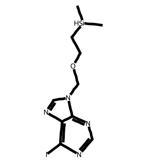 C[SiH](C)CCOCn1cnc2c(I)ncnc21